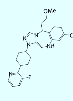 COCCC1C2=C(C=C(Cl)CC2)NC=C2N1C=NN2C1CCC(c2ncccc2F)CC1